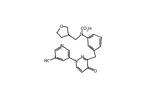 N#Cc1cncc(-n2ccc(=O)c(Cc3cccc(N(CC4CCOC4)C(=O)O)c3)n2)c1